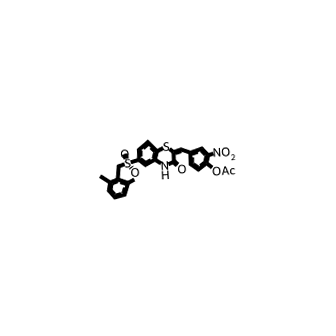 CC(=O)Oc1ccc(C=C2Sc3ccc(S(=O)(=O)Cc4c(C)cccc4C)cc3NC2=O)cc1[N+](=O)[O-]